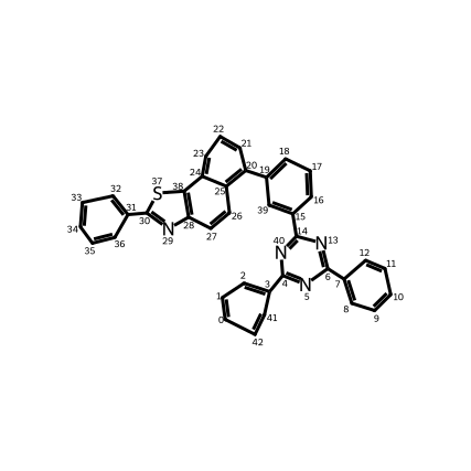 c1ccc(-c2nc(-c3ccccc3)nc(-c3cccc(-c4cccc5c4ccc4nc(-c6ccccc6)sc45)c3)n2)cc1